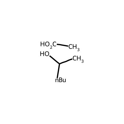 CC(=O)O.CCCCC(C)O